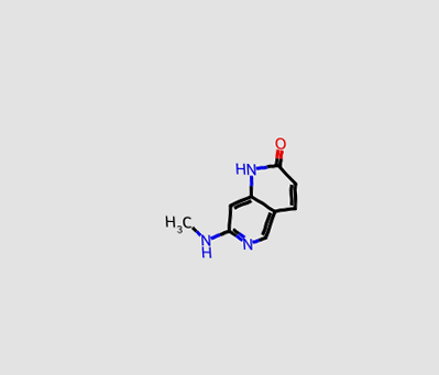 CNc1cc2[nH]c(=O)ccc2cn1